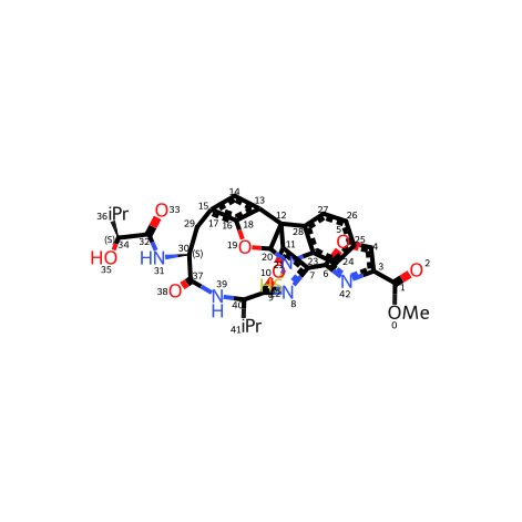 COC(=O)c1coc(-c2nc3oc2C24c5cc(ccc5OC2N(S)c2ccccc24)C[C@H](NC(=O)[C@@H](O)C(C)C)C(=O)NC3C(C)C)n1